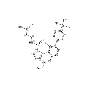 CC[C@@H](Oc1ccc(-c2ccc(C(F)(F)F)cc2)c(C)c1)c1ccc(C(=O)NCCC(=O)O)s1